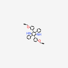 C#CCOc1cccc(-c2c3[nH]c4ccccc4c3c(-c3cccc(OCC#C)c3)c3[nH]c4ccccc4c23)c1